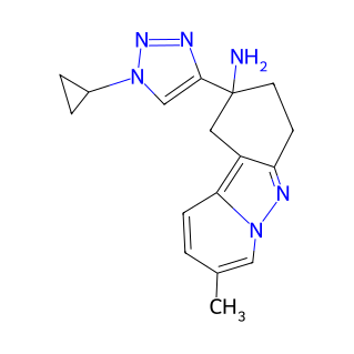 Cc1ccc2c3c(nn2c1)CCC(N)(c1cn(C2CC2)nn1)C3